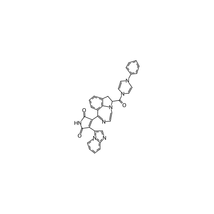 O=C1NC(=O)C(c2cnc3ccccn23)=C1C1=NC=CN2c3c(cccc31)CC2C(=O)N1C=CN(c2ccccc2)C=C1